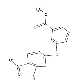 COC(=O)c1cccc(Oc2ccc([N+](=O)[O-])c(Cl)c2)c1